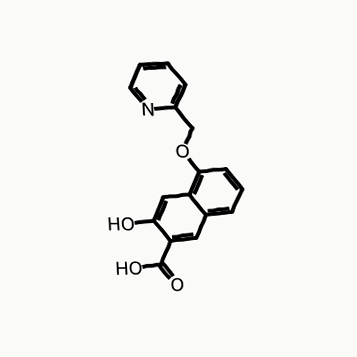 O=C(O)c1cc2cccc(OCc3ccccn3)c2cc1O